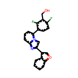 OCc1c(F)ccc(-c2cccc3nc(-c4coc5ccccc45)cn23)c1F